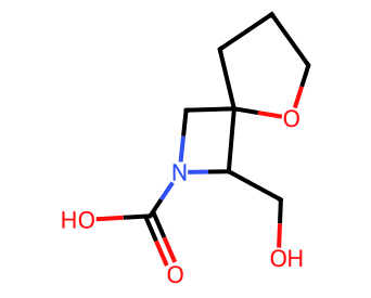 O=C(O)N1CC2(CCCO2)C1CO